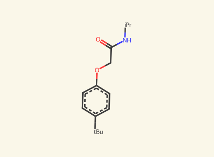 CC(C)NC(=O)COc1ccc(C(C)(C)C)cc1